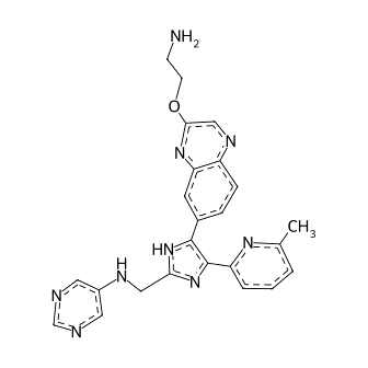 Cc1cccc(-c2nc(CNc3cncnc3)[nH]c2-c2ccc3ncc(OCCN)nc3c2)n1